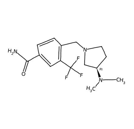 CN(C)[C@@H]1CCN(Cc2ccc(C(N)=O)cc2C(F)(F)F)C1